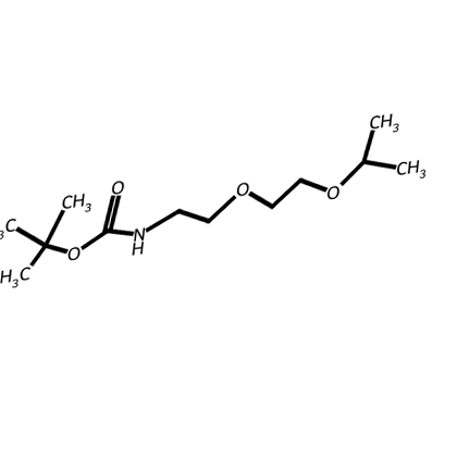 CC(C)OCCOCCNC(=O)OC(C)(C)C